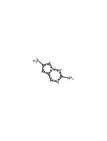 Bc1cc2cnc(N)nn2c1